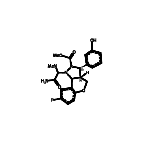 CNC(C(N)=O)N1C2c3cc(F)ccc3OC[C@H]2[C@@H](c2cccc(O)c2)N1C(=O)OC